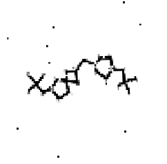 CC(C)(C)CN1CCN(CC2CC3(CCN(CC(C)(C)C)C3)C2)CC1